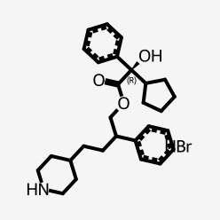 Br.O=C(OCC(CCC1CCNCC1)c1ccccc1)[C@](O)(c1ccccc1)C1CCCC1